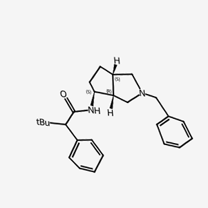 CC(C)(C)C(C(=O)N[C@H]1CC[C@@H]2CN(Cc3ccccc3)C[C@@H]21)c1ccccc1